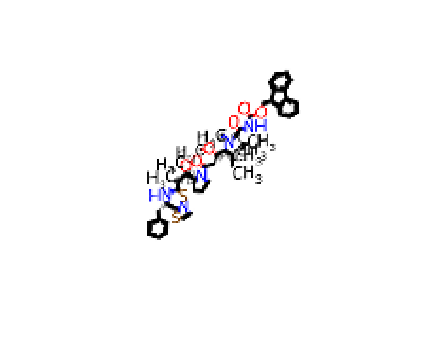 CC[C@H](C)[C@@H]([C@@H](CC(=O)N1CCC[C@H]1[C@H](OC)[C@@H](C)C(=S)N[C@@H](Cc1ccccc1)c1nccs1)OC)N(C)[C@H](C(=O)NC(=O)OCC1c2ccccc2-c2ccccc21)C(C)C